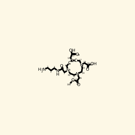 NCCCNC(=O)CN1CCN(CC(=O)O)CCN(CC(=O)O)CCN(CC(=O)OI)CC1